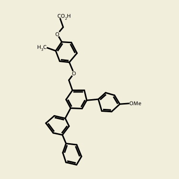 COc1ccc(-c2cc(COc3ccc(OCC(=O)O)c(C)c3)cc(-c3cccc(-c4ccccc4)c3)c2)cc1